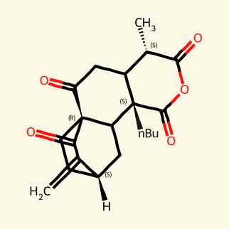 C=C1C(=O)[C@]23CC[C@H]1CC2[C@@]1(CCCC)C(=O)OC(=O)[C@@H](C)C1CC3=O